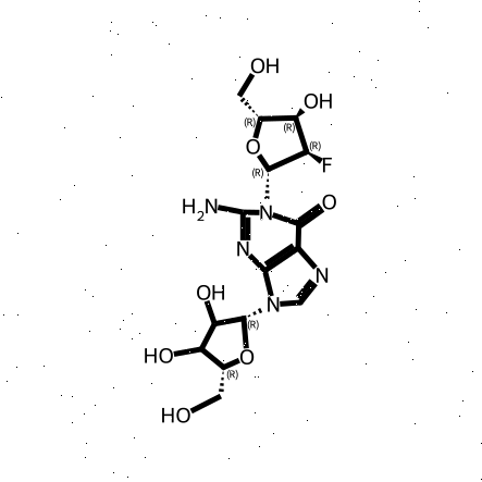 Nc1nc2c(ncn2[C@@H]2O[C@H](CO)C(O)C2O)c(=O)n1[C@@H]1O[C@H](CO)[C@@H](O)[C@H]1F